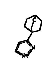 [c]1nccc(C23CCC(CC2)CC3)n1